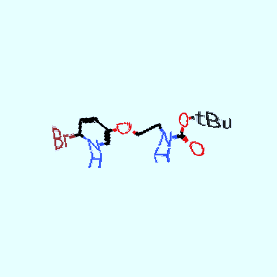 CC(C)(C)OC(=O)NCCOC1=CNC(Br)C=C1